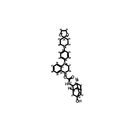 O=C(NC1[C@@H]2CC3C[C@H]1CC(O)(C3)C2)ON1CCN(c2ccc(N3CCC4(CC3)OCCO4)cc2)c2ccccc21